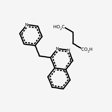 O=C(O)CCC(=O)O.c1ccc2c(Cc3ccncc3)nncc2c1